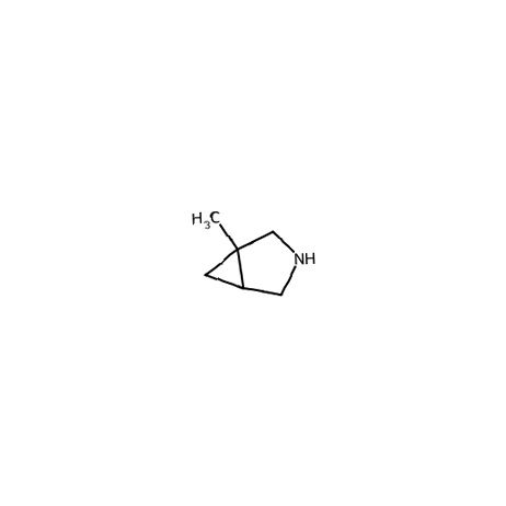 CC12CNCC1C2